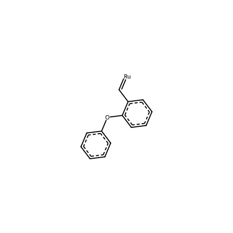 [Ru]=[CH]c1ccccc1Oc1ccccc1